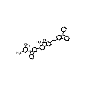 Cc1cc(C)cc(-n2c3ccccc3c3cc(-c4ccc5c(c4)C(C)(C)c4cc(/C=C/c6ccc7c(c6)c6ccccc6n7-c6ccccc6)ccc4-5)ccc32)c1